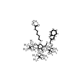 COC(=O)CCCCCC[C@H]1C(O[Si](C)(C)C(C)(C)C)CC(O[Si](C)(C)C(C)(C)C)[C@@H]1CC[C@@H](O[Si](C)(C)C(C)(C)C)c1cc2ccccc2s1